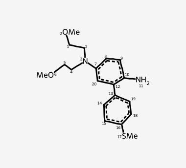 COCCN(CCOC)c1ccc(N)c(-c2ccc(SC)cc2)c1